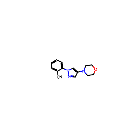 N#Cc1ccccc1-n1cc(N2CCOCC2)cn1